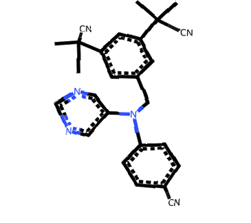 CC(C)(C#N)c1cc(CN(c2ccc(C#N)cc2)c2cncnc2)cc(C(C)(C)C#N)c1